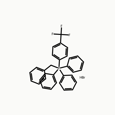 Br.FC(F)(F)c1ccc(P(Cc2ccccc2)(c2ccccc2)(c2ccccc2)c2ccccc2)cc1